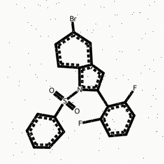 O=S(=O)(c1ccccc1)n1c(-c2c(F)cccc2F)cc2cc(Br)ccc21